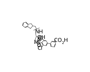 CN(CC(O)CNC(C)(C)CC1Cc2ccccc2C1)S(=O)(=O)c1c(Cl)cc(-c2cccc(C(=O)O)c2)cc1Cl